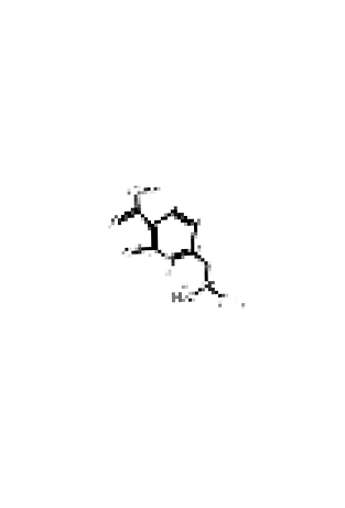 COC(=O)c1ccc(CN(C)C)nc1Cl